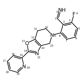 N=Cc1c(F)cccc1N1CCc2oc(-c3ccccn3)nc2C1